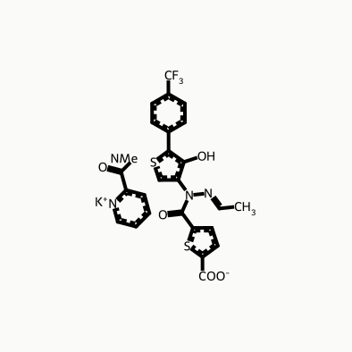 CC=NN(C(=O)c1ccc(C(=O)[O-])s1)c1csc(-c2ccc(C(F)(F)F)cc2)c1O.CNC(=O)c1ccccn1.[K+]